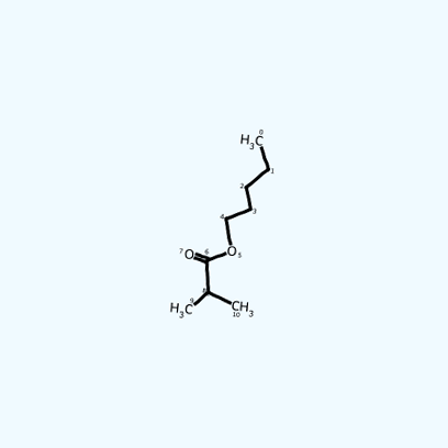 CCCCCOC(=O)[C](C)C